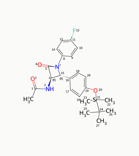 CC(=O)N[C@H]1C(=O)N(c2ccc(F)cc2)[C@@H]1c1ccc(O[Si](C)(C)C(C)(C)C)cc1